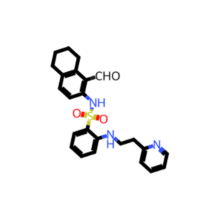 O=Cc1c(NS(=O)(=O)c2ccccc2NCCc2ccccn2)ccc2c1CCCC2